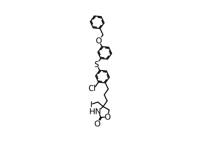 O=C1NC(CI)(CCCc2ccc(Sc3cccc(OCc4ccccc4)c3)cc2Cl)CO1